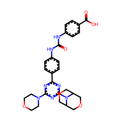 O=C(Nc1ccc(C(=O)O)cc1)Nc1ccc(-c2nc(N3CCOCC3)nc(N3C4COCC3COC4)n2)cc1